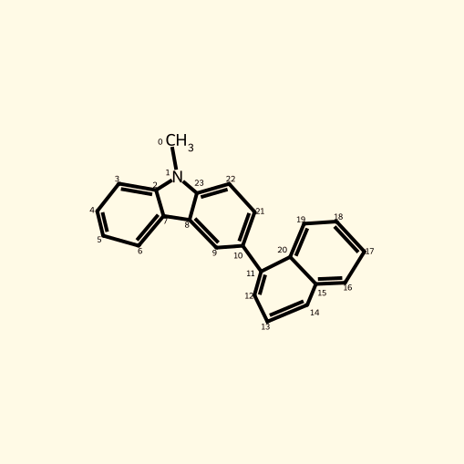 Cn1c2ccccc2c2cc(-c3cccc4ccccc34)ccc21